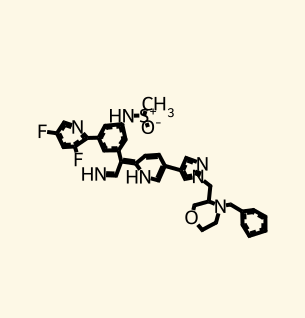 C[S+]([O-])Nc1cc(/C(C=N)=C2\C=CC(c3cnn(CC4COCCN4Cc4ccccc4)c3)=CN2)cc(-c2ncc(F)cc2F)c1